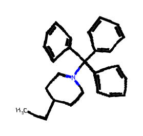 CCC1CCN(C(c2ccccc2)(c2ccccc2)c2ccccc2)CC1